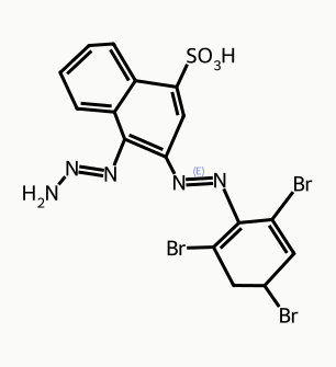 NN=Nc1c(/N=N/C2=C(Br)CC(Br)C=C2Br)cc(S(=O)(=O)O)c2ccccc12